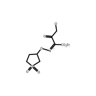 CCOC(=O)/C(=N/OC1CCS(=O)(=O)C1)C(=O)CCl